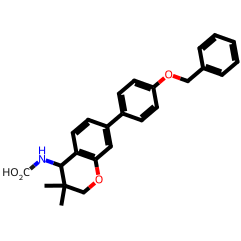 CC1(C)COc2cc(-c3ccc(OCc4ccccc4)cc3)ccc2C1NC(=O)O